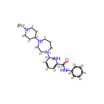 CC(C)N1CCC(N2CCCN(C3C=CC=C(C(=O)Nc4ccccc4)N3)CC2)CC1